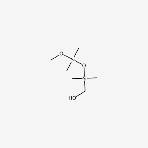 CO[Si](C)(C)O[Si](C)(C)CO